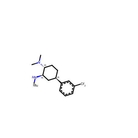 CN(C)[C@@H]1CC[C@@H](c2cccc(C(F)(F)F)c2)C[C@H]1NC(C)(C)C